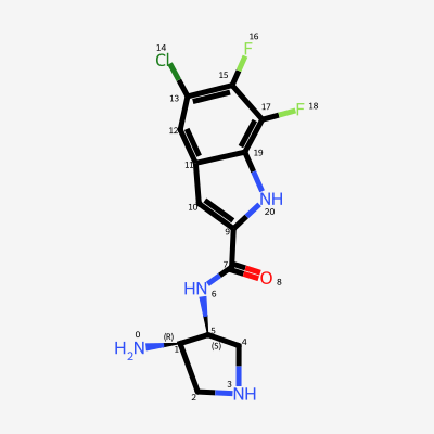 N[C@@H]1CNC[C@@H]1NC(=O)c1cc2cc(Cl)c(F)c(F)c2[nH]1